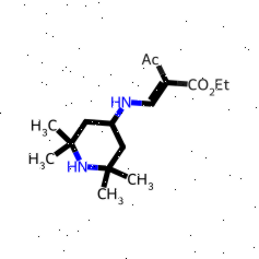 CCOC(=O)C(=CNC1CC(C)(C)NC(C)(C)C1)C(C)=O